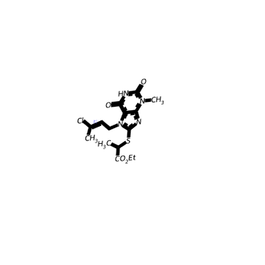 CCOC(=O)C(C)Sc1nc2c(c(=O)[nH]c(=O)n2C)n1C/C=C(\C)Cl